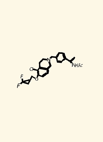 CC(=O)NC(C)c1ccc(CN2CCc3c(ccc(OCC4CC4(F)F)c3Cl)C2)cc1